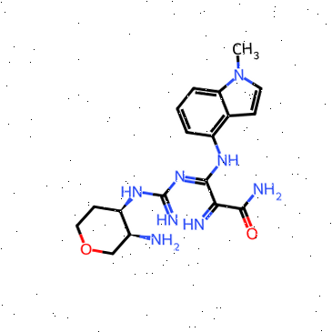 Cn1ccc2c(N/C(=N/C(=N)N[C@@H]3CCOC[C@@H]3N)C(=N)C(N)=O)cccc21